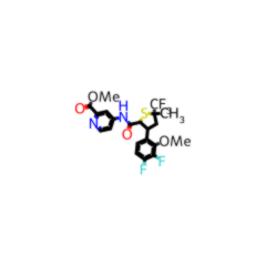 COC(=O)c1cc(NC(=O)C2SC(C)(C(F)(F)F)CC2c2ccc(F)c(F)c2OC)ccn1